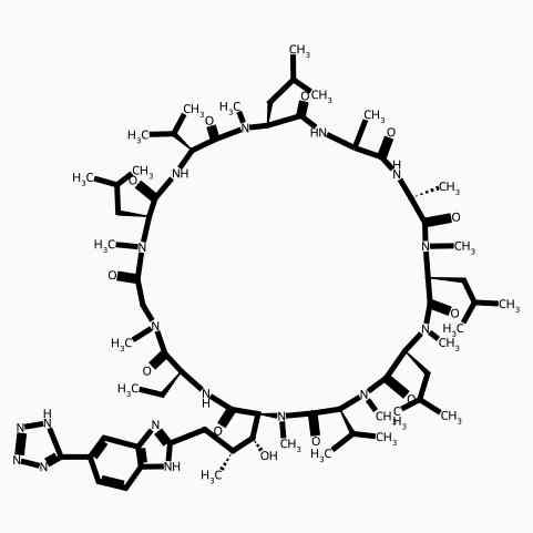 CC[C@@H]1NC(=O)[C@H]([C@H](O)[C@H](C)Cc2nc3cc(-c4nnn[nH]4)ccc3[nH]2)N(C)C(=O)[C@H](C(C)C)N(C)C(=O)[C@H](CC(C)C)N(C)C(=O)[C@H](CC(C)C)N(C)C(=O)[C@@H](C)NC(=O)C(C)NC(=O)[C@H](CC(C)C)N(C)C(=O)[C@H](C(C)C)NC(=O)[C@H](CC(C)C)N(C)C(=O)CN(C)C1=O